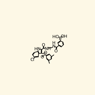 Cc1cc(C)cc(S(=O)(=O)c2c(C(=O)NCCNC(=O)c3cccc(B(O)O)c3)[nH]c3ccc(Cl)cc23)c1